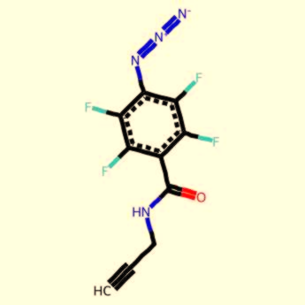 C#CCNC(=O)c1c(F)c(F)c(N=[N+]=[N-])c(F)c1F